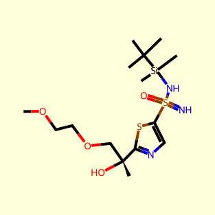 COCCOC[C@@](C)(O)c1ncc(S(=N)(=O)N[Si](C)(C)C(C)(C)C)s1